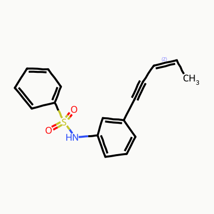 C/C=C\C#Cc1cccc(NS(=O)(=O)c2ccccc2)c1